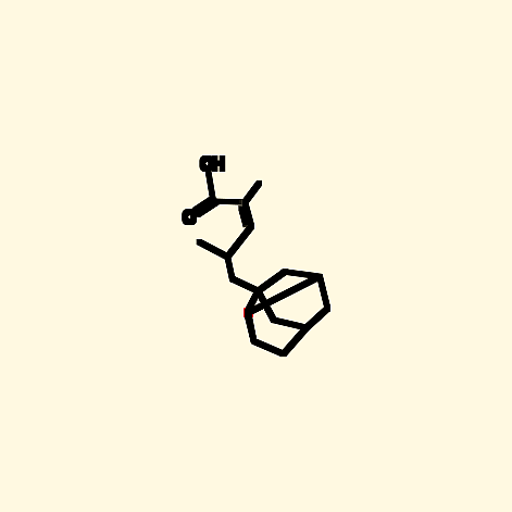 CC(=CC(C)CC12CC3CC(CC(C3)C1)C2)C(=O)O